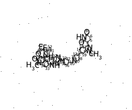 Cn1nc(C2CCC(=O)NC2=O)c2ccc(C3CCN(CC4CCN(c5ncc(Cl)c(Nc6ccc7c(c6)c6c(c(=O)n7C)OCC(F)(F)C(C7CC7)N6)n5)CC4)CC3)cc21